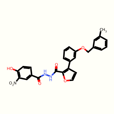 Cc1cccc(COc2cccc(-c3ccoc3C(=O)NNC(=O)c3ccc(O)c([N+](=O)[O-])c3)c2)c1